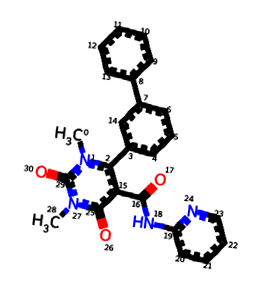 Cn1c(-c2cccc(-c3ccccc3)c2)c(C(=O)Nc2ccccn2)c(=O)n(C)c1=O